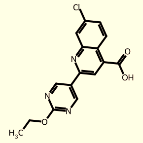 CCOc1ncc(-c2cc(C(=O)O)c3ccc(Cl)cc3n2)cn1